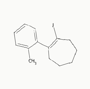 Cc1ccccc1C1=C(I)CCCCC1